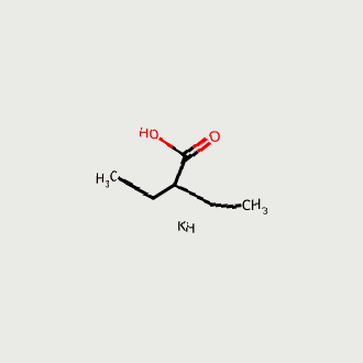 CCC(CC)C(=O)O.[KH]